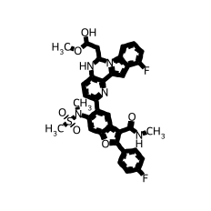 CNC(=O)c1c(-c2ccc(F)cc2)oc2cc(N(C)S(C)(=O)=O)c(-c3ccc4c(n3)-c3cc5c(F)cccc5n3C(CC(O)OC)N4)cc12